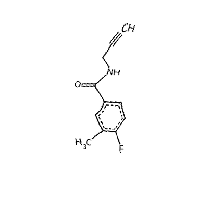 C#CCNC(=O)c1ccc(F)c(C)c1